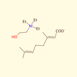 CC(C)=CCC/C(C)=C/C(=O)[O-].CC[N+](CC)(CC)CCO